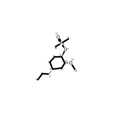 CCC[C@@H]1CC[C@@H](OP(C)(C)=O)[C@H](OC)C1